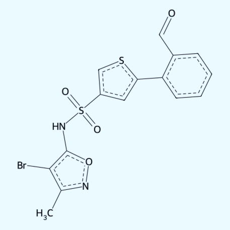 Cc1noc(NS(=O)(=O)c2csc(-c3ccccc3C=O)c2)c1Br